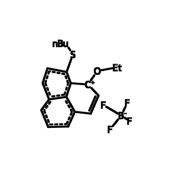 CCCCSc1ccc2cccc3c2c1[C+](OCC)C=C3.F[B-](F)(F)F